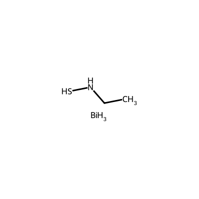 CCNS.[BiH3]